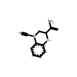 C=C(N)C1CN(C#N)c2ccccc2O1